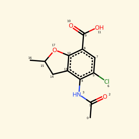 CC(=O)Nc1c(Cl)cc(C(=O)O)c2c1CC(C)O2